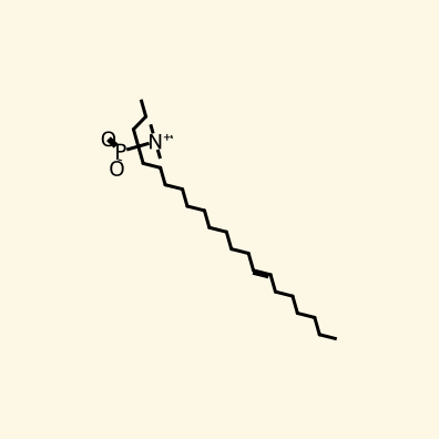 CCCCCCC=CCCCCCCCCCCC(CCC)(P(=O)=O)[N+](C)(C)C